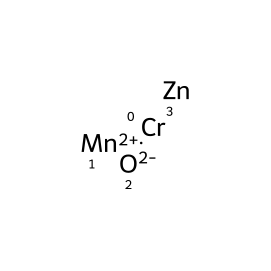 [Cr].[Mn+2].[O-2].[Zn]